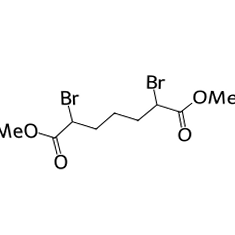 COC(=O)C(Br)CCCC(Br)C(=O)OC